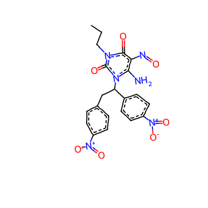 CCCn1c(=O)c(N=O)c(N)n(C(Cc2ccc([N+](=O)[O-])cc2)c2ccc([N+](=O)[O-])cc2)c1=O